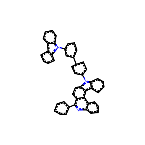 c1ccc(-c2nc3ccccc3c3c2ccc2c3c3ccccc3n2-c2ccc(-c3cccc(-n4c5ccccc5c5ccccc54)c3)cc2)cc1